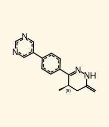 C=C1C[C@@H](C)C(c2ccc(-c3cncnc3)cc2)=NN1